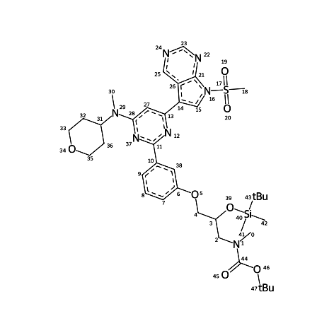 CN(CC(COc1cccc(-c2nc(-c3cn(S(C)(=O)=O)c4ncncc34)cc(N(C)C3CCOCC3)n2)c1)O[Si](C)(C)C(C)(C)C)C(=O)OC(C)(C)C